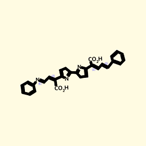 O=C(O)/C(=C\C=C\c1ccccc1)C1=CCC(C2=NC(/C(=C/C=N/c3ccccc3)C(=O)O)=CC2)=N1